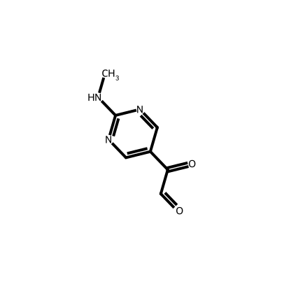 CNc1ncc(C(=O)C=O)cn1